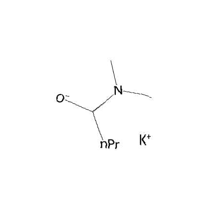 CCCC([O-])N(C)C.[K+]